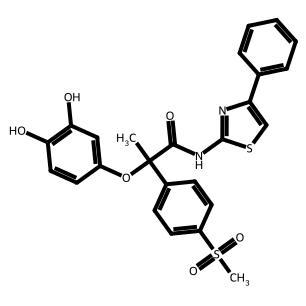 CC(Oc1ccc(O)c(O)c1)(C(=O)Nc1nc(-c2ccccc2)cs1)c1ccc(S(C)(=O)=O)cc1